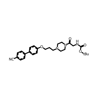 CC(C)(C)OC(=O)NCC(=O)N1CCN(CCCOc2ccc(-c3ccc(C#N)cc3)cc2)CC1